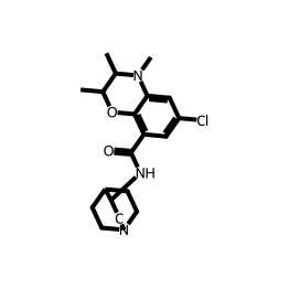 CC1Oc2c(C(=O)NC3CN4CCC3CC4)cc(Cl)cc2N(C)C1C